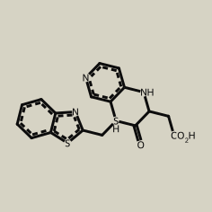 O=C(O)CC1Nc2ccncc2[SH](Cc2nc3ccccc3s2)C1=O